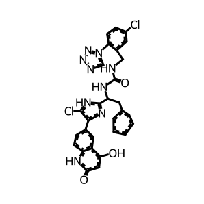 O=C(NCc1cc(Cl)ccc1-n1cnnn1)NC(Cc1ccccc1)c1nc(-c2ccc3[nH]c(=O)cc(O)c3c2)c(Cl)[nH]1